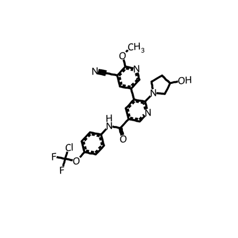 COc1ncc(-c2cc(C(=O)Nc3ccc(OC(F)(F)Cl)cc3)cnc2N2CCC(O)C2)cc1C#N